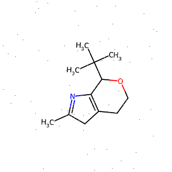 CC1=NC2=C(CCOC2C(C)(C)C)C1